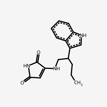 CCCC(CNC1=CC(=O)NC1=O)c1c[nH]c2ccccc12